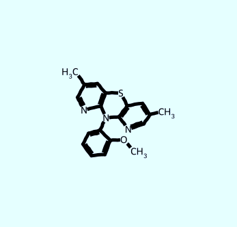 COc1ccccc1N1c2ncc(C)cc2Sc2cc(C)cnc21